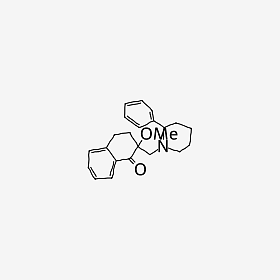 COC1(CN2CCCCC2c2ccccc2)CCc2ccccc2C1=O